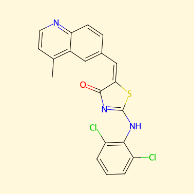 Cc1ccnc2ccc(C=C3SC(Nc4c(Cl)cccc4Cl)=NC3=O)cc12